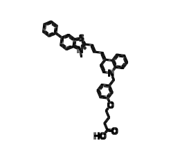 C[n+]1c(C=CC=C2C=CN(Cc3cccc(OCCCC(=O)O)c3)c3ccccc32)sc2cc(-c3ccccc3)ccc21